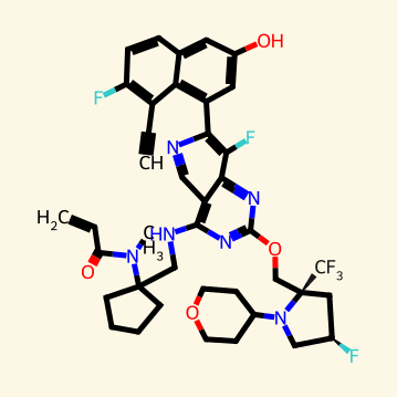 C#Cc1c(F)ccc2cc(O)cc(-c3ncc4c(NCC5(N(C)C(=O)C=C)CCCC5)nc(OC[C@]5(C(F)(F)F)C[C@@H](F)CN5C5CCOCC5)nc4c3F)c12